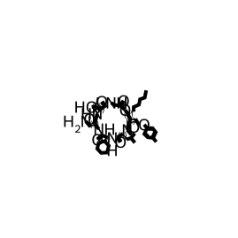 CCCCCC[C@H]1OC(=O)CNC(=O)[C@H]([C@H](C)O)NC(=O)[C@H](CN)NC(=O)[C@H](C2CCCCC2)NC(=O)[C@H](CC(C)C)N(C)C(=O)[C@@H]1CCOc1ccc(C)cc1